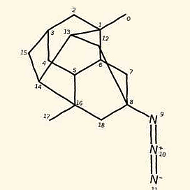 CC12CC3CC4C1CC1(N=[N+]=[N-])CC2C(C3)C4(C)C1